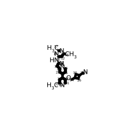 Cc1cc(-c2ccn3nc(Nc4cc(C)nc(C)n4)cc3c2)c(OCC2CC(C#N)C2)cn1